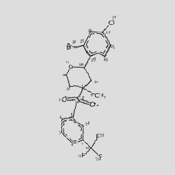 CC1(S(=O)(=O)c2cccc(C(F)(F)F)c2)CCOC(c2ccc(Cl)cc2Br)C1